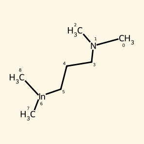 CN(C)CC[CH2][In]([CH3])[CH3]